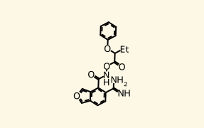 CCC(Oc1ccccc1)C(=O)ONC(=O)c1c(C(=N)N)ccc2cocc12